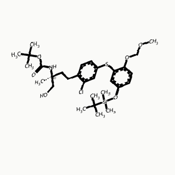 COCOc1ccc(O[Si](C)(C)C(C)(C)C)cc1Sc1ccc(CC[C@@](C)(CO)NC(=O)OC(C)(C)C)c(Cl)c1